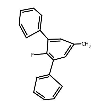 Cc1cc(-c2ccccc2)c(F)c(-c2ccccc2)c1